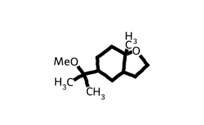 COC(C)(C)C1CCC2(C)OCCC2C1